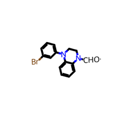 O=[C]N1CCN(c2cccc(Br)c2)c2ccccc21